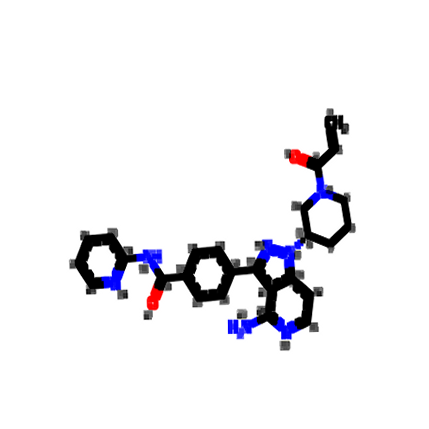 C=CC(=O)N1CCC[C@H](n2nc(-c3ccc(C(=O)Nc4ccccn4)cc3)c3c(N)nccc32)C1